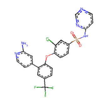 Nc1cc(-c2cc(C(F)(F)F)ccc2Oc2ccc(S(=O)(=O)Nc3ccncn3)cc2Cl)ccn1